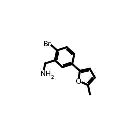 Cc1ccc(-c2ccc(Br)c(CN)c2)o1